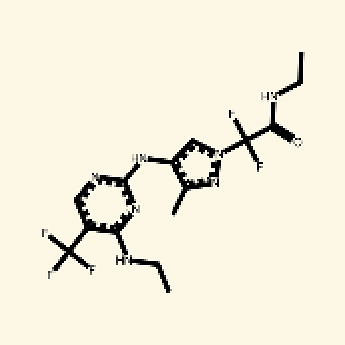 CCNC(=O)C(F)(F)n1cc(Nc2ncc(C(F)(F)F)c(NCC)n2)c(C)n1